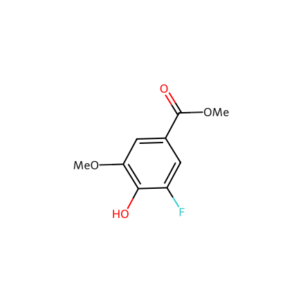 COC(=O)c1cc(F)c(O)c(OC)c1